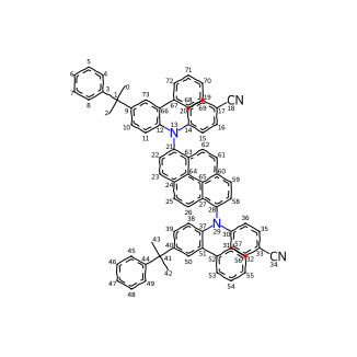 CC(C)(c1ccccc1)c1ccc(N(c2ccc(C#N)cc2)c2ccc3ccc4c(N(c5ccc(C#N)cc5)c5ccc(C(C)(C)c6ccccc6)cc5-c5ccccc5)ccc5ccc2c3c54)c(-c2ccccc2)c1